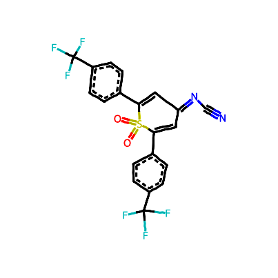 N#CN=C1C=C(c2ccc(C(F)(F)F)cc2)S(=O)(=O)C(c2ccc(C(F)(F)F)cc2)=C1